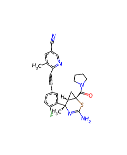 Cc1cc(C#N)cnc1C#Cc1ccc(F)c([C@@]2(C)N=C(N)S[C@@]3(C(=O)N4CCCC4)C[C@H]32)c1